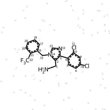 NCc1c(-c2ccc(Cl)cc2Cl)ncn1Cc1ccccc1C(F)(F)F